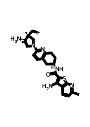 Cc1ccc2c(N)c(C(=O)N[C@H]3CCc4nc(N5C[C@H](N)[C@@](C)(CF)C5)ccc4C3)sc2n1